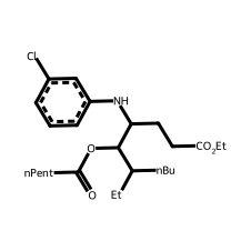 CCCCCC(=O)OC(C(CC)CCCC)C(CCC(=O)OCC)Nc1cccc(Cl)c1